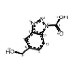 O=C(O)n1nnc2cc(CO)ccc21